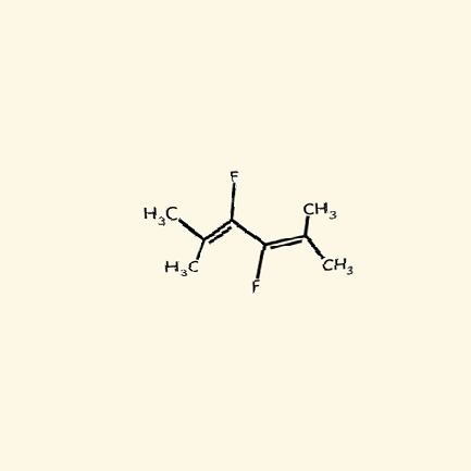 CC(C)=C(F)C(F)=C(C)C